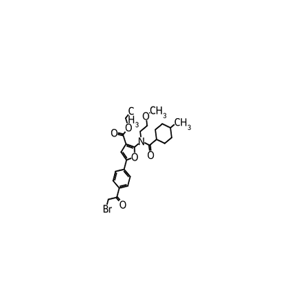 CCOC(=O)c1cc(-c2ccc(C(=O)CBr)cc2)oc1N(CCOC)C(=O)C1CCC(C)CC1